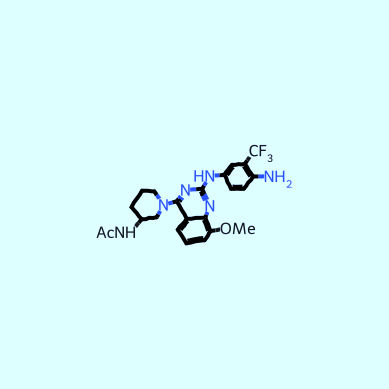 COc1cccc2c(N3CCCC(NC(C)=O)C3)nc(Nc3ccc(N)c(C(F)(F)F)c3)nc12